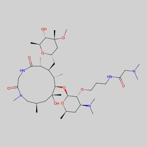 CO[C@]1(C)C[C@H](C[C@H]2[C@H](C)[C@@H](O[C@@H]3O[C@H](C)C[C@H](N(C)C)[C@H]3OCCCNC(=O)CN(C)C)[C@](C)(O)C[C@@H](C)CN(C)C(=O)CNC(=O)[C@@H]2C)O[C@@H](C)[C@@H]1O